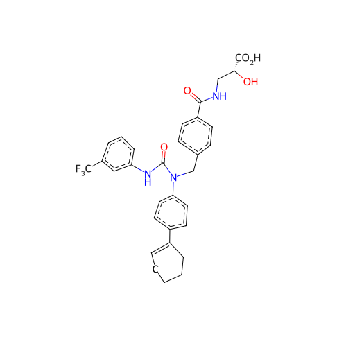 O=C(NC[C@@H](O)C(=O)O)c1ccc(CN(C(=O)Nc2cccc(C(F)(F)F)c2)c2ccc(C3=CCCCC3)cc2)cc1